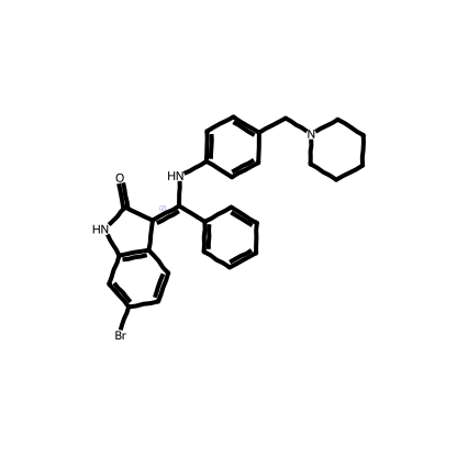 O=C1Nc2cc(Br)ccc2/C1=C(/Nc1ccc(CN2CCCCC2)cc1)c1ccccc1